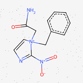 NC(=O)C[N+]1(Cc2ccccc2)C=CN=C1[N+](=O)[O-]